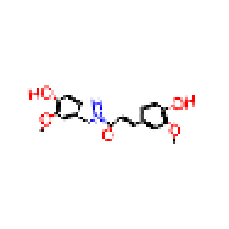 COc1cc(/C=C/C(=O)NCc2ccc(O)c(OC)c2)ccc1O